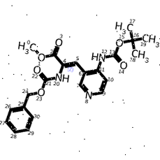 COC(=O)/C(=C/c1cnccc1NC(=O)OC(C)(C)C)NC(=O)OCc1ccccc1